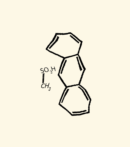 CS(=O)(=O)O.c1ccc2cc3ccccc3cc2c1